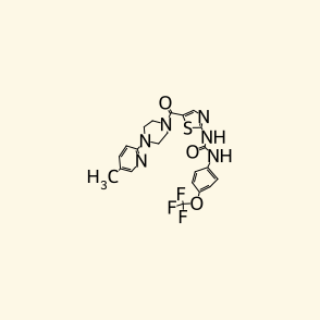 Cc1ccc(N2CCN(C(=O)c3cnc(NC(=O)Nc4ccc(OC(F)(F)F)cc4)s3)CC2)nc1